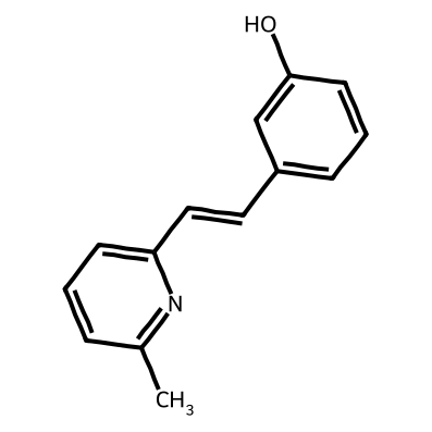 Cc1cccc(C=Cc2cccc(O)c2)n1